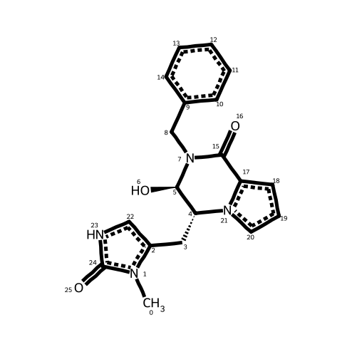 Cn1c(C[C@@H]2[C@@H](O)N(Cc3ccccc3)C(=O)c3cccn32)c[nH]c1=O